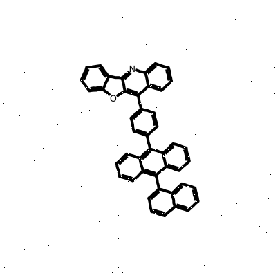 c1ccc2c(-c3c4ccccc4c(-c4ccc(-c5c6ccccc6nc6c5oc5ccccc56)cc4)c4ccccc34)cccc2c1